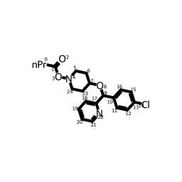 CCCC(=O)ON1CCC(OC(c2ccc(Cl)cc2)c2ccccn2)CC1